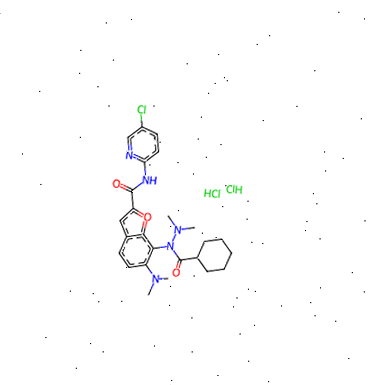 CN(C)c1ccc2cc(C(=O)Nc3ccc(Cl)cn3)oc2c1N(C(=O)C1CCCCC1)N(C)C.Cl.Cl